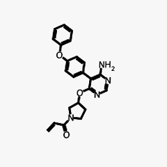 C=CC(=O)N1CCC(Oc2ncnc(N)c2-c2ccc(Oc3ccccc3)cc2)C1